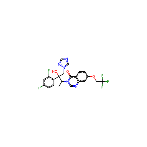 CC(n1cnc2cc(OCC(F)(F)F)ccc2c1=O)C(O)(Cn1cncn1)c1ccc(F)cc1F